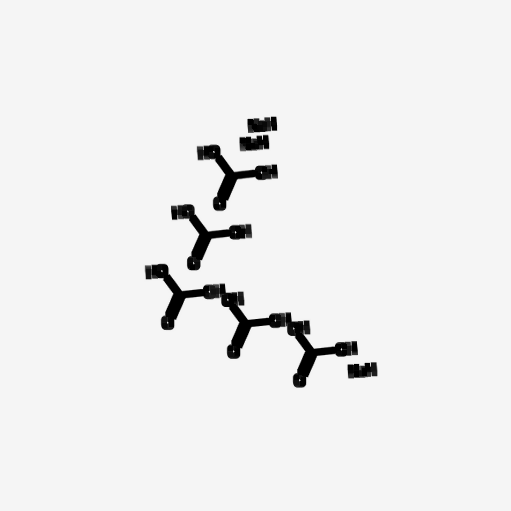 O=C(O)O.O=C(O)O.O=C(O)O.O=C(O)O.O=C(O)O.[NaH].[NaH].[NaH]